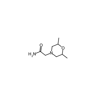 CC1CN(CC(N)=O)CC(C)O1